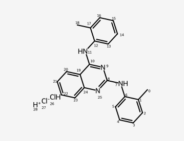 Cc1ccccc1Nc1nc(Nc2ccccc2C)c2ccccc2n1.Cl.[Cl-].[H+]